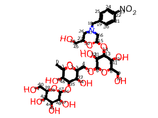 CC1OC(COC2OC(CO)C(O)C(OC3CN(Cc4ccc([N+](=O)[O-])cc4)CC(CO)O3)C2O)C(O)C(OC2OC(CO)C(O)C(O)C2O)C1O